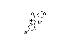 O=C(c1nn2cc(Br)cnc2c1Br)N1CCOCC1